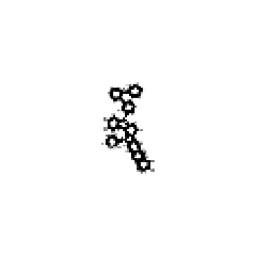 c1ccc(-c2ccccc2-c2cccc(-n3c4ccccc4c4c3ccc3c5cc6cc7ccccc7cc6cc5n(-c5cccnc5)c34)c2)cc1